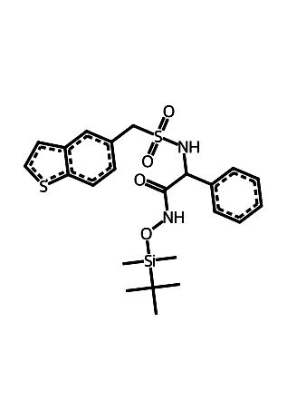 CC(C)(C)[Si](C)(C)ONC(=O)C(NS(=O)(=O)Cc1ccc2sccc2c1)c1ccccc1